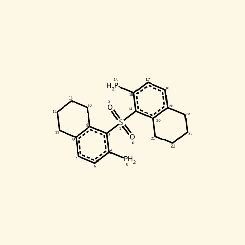 O=S(=O)(c1c(P)ccc2c1CCCC2)c1c(P)ccc2c1CCCC2